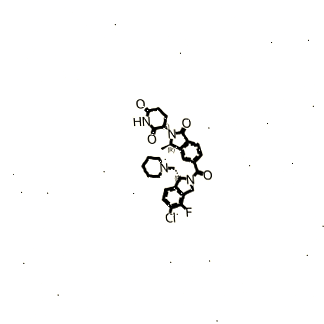 C[C@@H]1c2cc(C(=O)N3Cc4c(ccc(Cl)c4F)[C@@H]3CN3CCCCC3)ccc2C(=O)N1[C@H]1CCC(=O)NC1=O